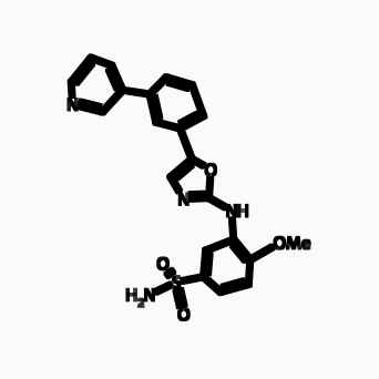 COc1ccc(S(N)(=O)=O)cc1Nc1ncc(-c2cccc(-c3cccnc3)c2)o1